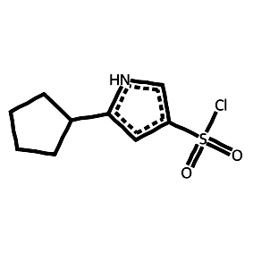 O=S(=O)(Cl)c1c[nH]c(C2CCCC2)c1